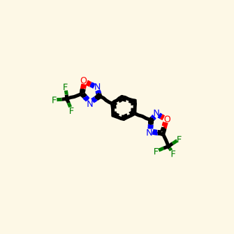 FC(F)(F)c1nc(-c2ccc(-c3noc(C(F)(F)F)n3)cc2)no1